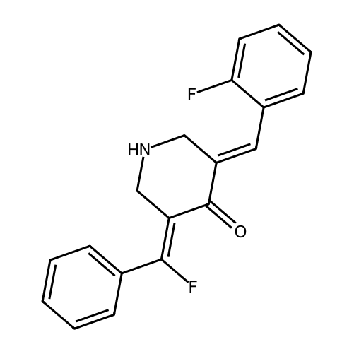 O=C1/C(=C(\F)c2ccccc2)CNC/C1=C\c1ccccc1F